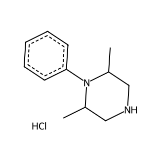 CC1CNCC(C)N1c1ccccc1.Cl